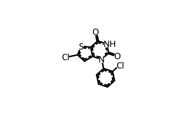 O=c1[nH]c(=O)n(-c2ccccc2Cl)c2cc(Cl)sc12